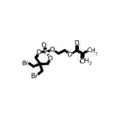 C=C(C)C(=O)OCCOP1(=O)OCC(CBr)(CBr)CO1